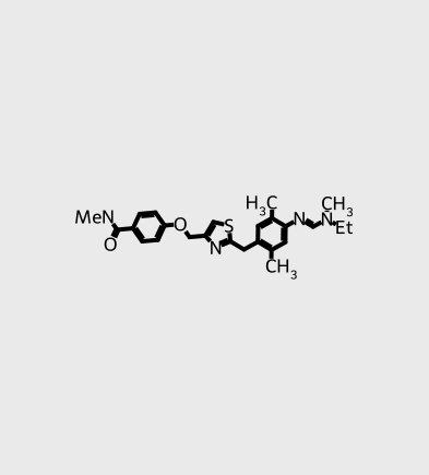 CCN(C)C=Nc1cc(C)c(Cc2nc(COc3ccc(C(=O)NC)cc3)cs2)cc1C